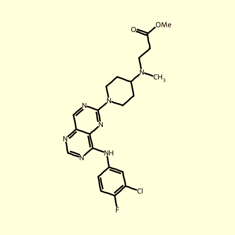 COC(=O)CCN(C)C1CCN(c2ncc3ncnc(Nc4ccc(F)c(Cl)c4)c3n2)CC1